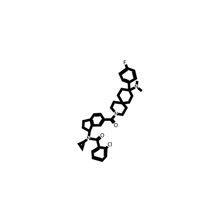 CN(C)C1(c2ccc(F)cc2)CCC2(CCN(C(=O)c3ccc4c(c3)C(N(C(=O)c3ccccc3Cl)C3CC3)CC4)CC2)CC1